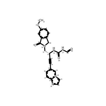 COc1ccc2c(c1)C(=O)N(C[C@@H](C#Cc1ccc3nccn3c1)NC(=O)NC=O)C2